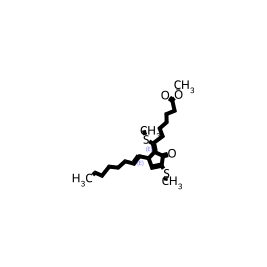 CCCCCC/C=C/C1C=C(SC)C(=O)/C1=C(\CCCCCC(=O)OC)SC